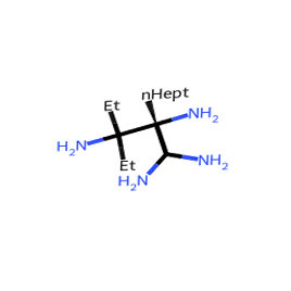 CCCCCCC[C@@](N)(C(N)N)C(N)(CC)CC